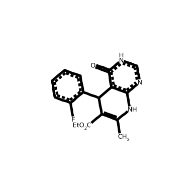 CCOC(=O)C1=C(C)Nc2nc[nH]c(=O)c2C1c1ccccc1F